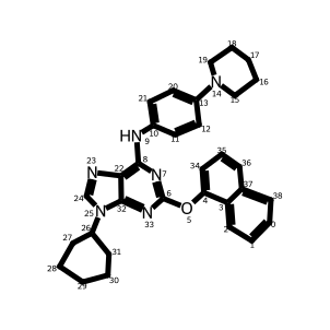 c1ccc2c(Oc3nc(Nc4ccc(N5CCCCC5)cc4)c4ncn(C5CCCCC5)c4n3)cccc2c1